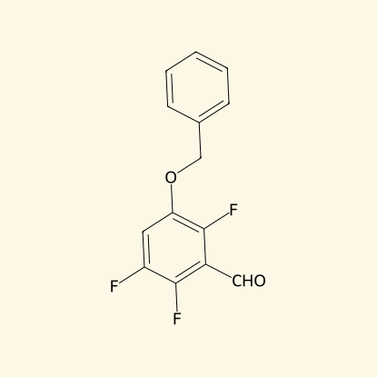 O=Cc1c(F)c(F)cc(OCc2ccccc2)c1F